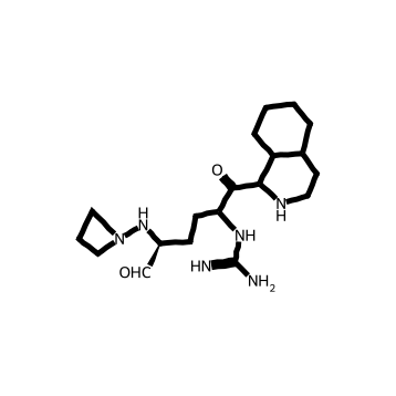 N=C(N)NC(CC[C@@H](C=O)NN1CCC1)C(=O)C1NCCC2CCCCC21